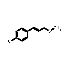 CSC/C=C/c1ccc(Cl)cc1